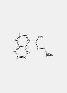 CCCCCCCCCCCCC(CCC)c1cccc2ccccc12